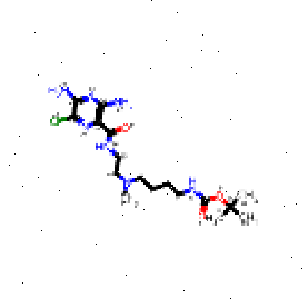 CN(CCCCNC(=O)OC(C)(C)C)CCNC(=O)c1nc(Cl)c(N)nc1N